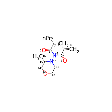 C=CC(=O)N(C(=O)C(=C)CCC)N1CCOCC1C